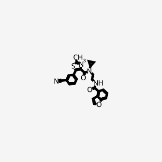 Cc1nc(C(=O)N(CCNC(=O)c2cccc3occc23)C2CC2)c(-c2cccc(C#N)c2)s1